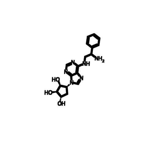 NC(CNc1ncnc2c1ncn2[C@@H]1C[C@H](O)[C@@H](O)[C@H]1O)c1ccccc1